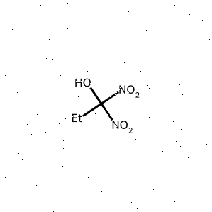 CCC(O)([N+](=O)[O-])[N+](=O)[O-]